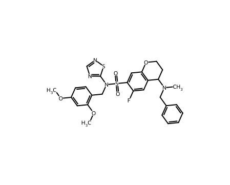 COc1ccc(CN(c2ncns2)S(=O)(=O)c2cc3c(cc2F)C(N(C)Cc2ccccc2)CCO3)c(OC)c1